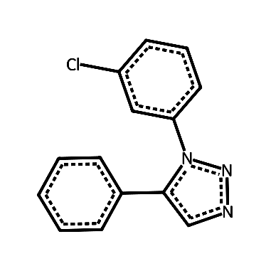 Clc1cccc(-n2nncc2-c2ccccc2)c1